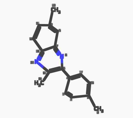 Cc1ccc(-c2nc3cc(C)ccc3nc2C)cc1